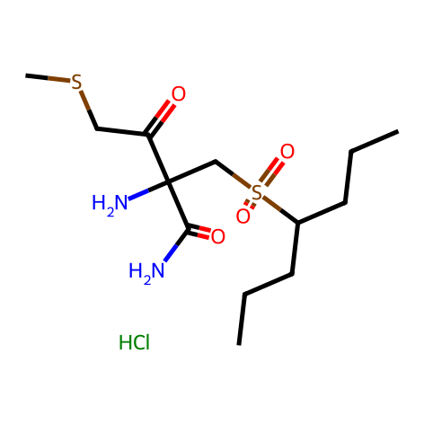 CCCC(CCC)S(=O)(=O)CC(N)(C(N)=O)C(=O)CSC.Cl